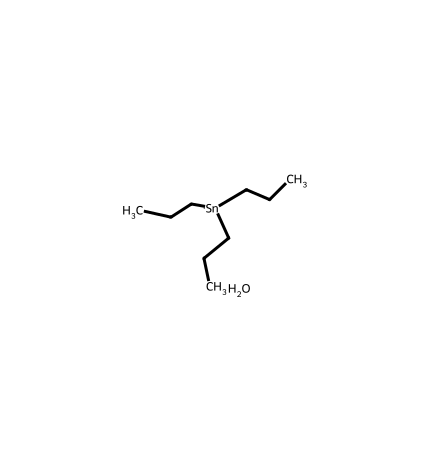 CC[CH2][Sn]([CH2]CC)[CH2]CC.O